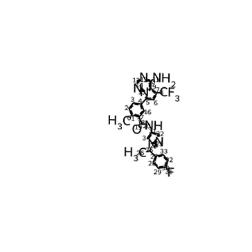 Cc1ccc(-c2cc(C(F)(F)F)c3c(N)ncnn23)cc1C(=O)Nc1cnn(C(C)c2ccc(F)cc2)c1